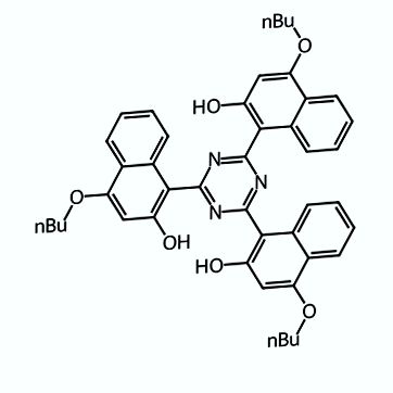 CCCCOc1cc(O)c(-c2nc(-c3c(O)cc(OCCCC)c4ccccc34)nc(-c3c(O)cc(OCCCC)c4ccccc34)n2)c2ccccc12